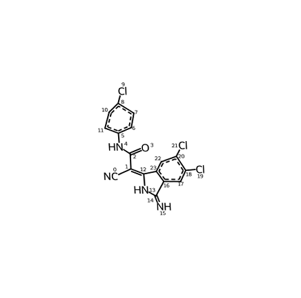 N#C/C(C(=O)Nc1ccc(Cl)cc1)=C1\NC(=N)c2cc(Cl)c(Cl)cc21